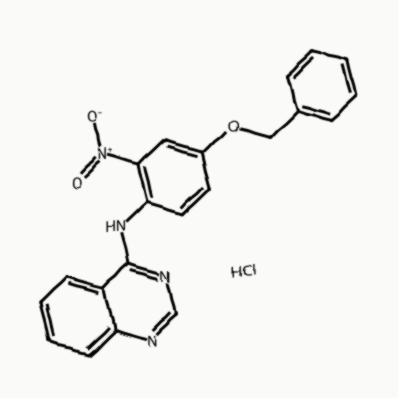 Cl.O=[N+]([O-])c1cc(OCc2ccccc2)ccc1Nc1ncnc2ccccc12